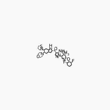 Cc1cc(Oc2c(F)cccc2F)ncc1-n1ncc(C(=O)c2cc3cc(N4CCOCC4)c(N4CCCS4)cc3[nH]2)c1N